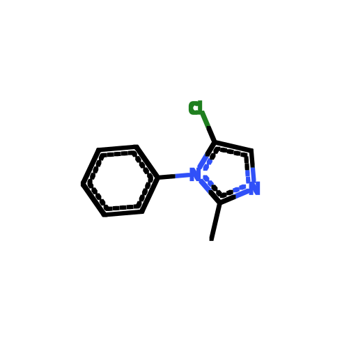 Cc1ncc(Cl)n1-c1ccccc1